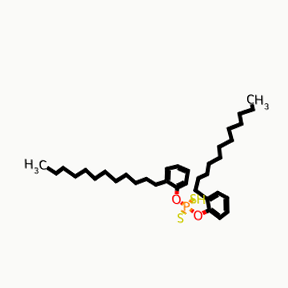 CCCCCCCCCCCCc1ccccc1OP(=S)(S)Oc1ccccc1CCCCCCCCCCCC